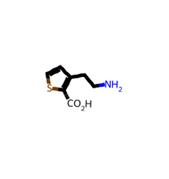 NCCc1ccsc1C(=O)O